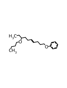 CCCCOC(CC)CCC=CCCCOc1ccccc1